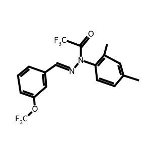 Cc1ccc(N(N=Cc2cccc(OC(F)(F)F)c2)C(=O)C(F)(F)F)c(C)c1